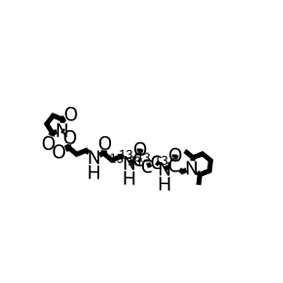 CC1CCCC(C)N1C[13C](=O)N[13CH2][13CH2][13C](=O)[15NH]CCC(=O)NCCC(=O)ON1C(=O)CCC1=O